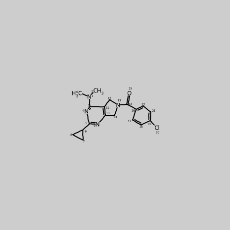 CN(C)c1nc(C2CC2)nc2c1CN(C(=O)c1ccc(Cl)cc1)C2